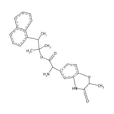 CC1Oc2ccc(C(N)C(=O)OC(C)(C)C(C)c3cccc4ccccc34)cc2NC1=O